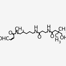 CN(CCCCCNC(=O)CCNC(=O)CC(C)(C)CO)C(=O)/C=C\C=O